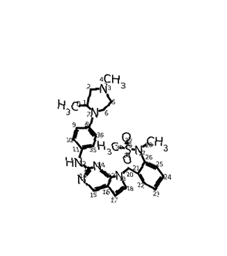 CC1CN(C)CCN1c1ccc(Nc2ncc3ccn(Cc4ccccc4N(C)S(C)(=O)=O)c3n2)cc1